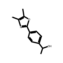 [CH2]c1nc(-c2ccc(C(C)O)cc2)oc1C